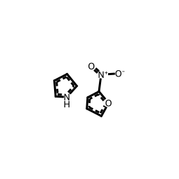 O=[N+]([O-])c1ccco1.c1cc[nH]c1